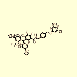 C[Si]1(C)C2=CC(=[N+]3CCC3)C=CC2=C(c2c(F)c(C(=O)NCc3ccc(COc4cc(Cl)nc(N)n4)cc3)c(F)c(F)c2C(=O)O)c2ccc(N3CCC3)cc21